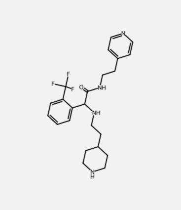 O=C(NCCc1ccncc1)C(NCCC1CCNCC1)c1ccccc1C(F)(F)F